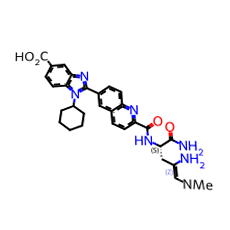 CN/C=C(\N)C[C@H](NC(=O)c1ccc2cc(-c3nc4cc(C(=O)O)ccc4n3C3CCCCC3)ccc2n1)C(N)=O